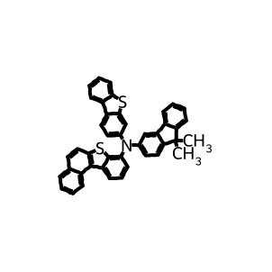 CC1(C)c2ccccc2-c2cc(N(c3ccc4c(c3)sc3ccccc34)c3cccc4c3sc3ccc5ccccc5c34)ccc21